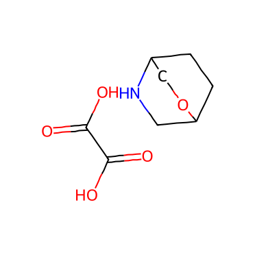 C1CC2CNC1CO2.O=C(O)C(=O)O